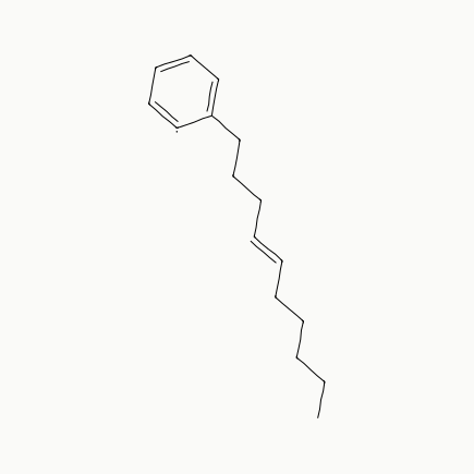 CCCCCC=CCCCc1[c]cccc1